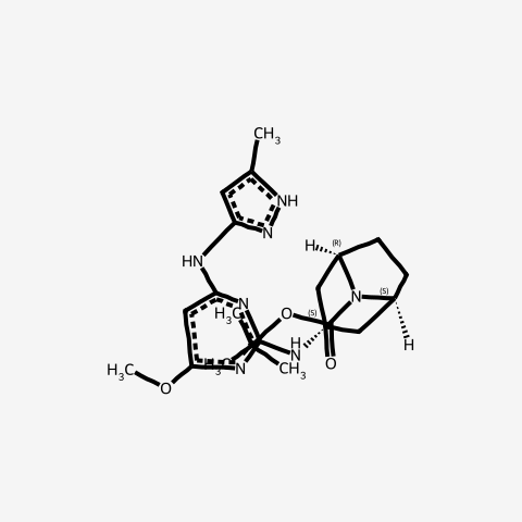 COc1cc(Nc2cc(C)[nH]n2)nc(N[C@@H]2C[C@H]3CC[C@@H](C2)N3C(=O)OC(C)(C)C)n1